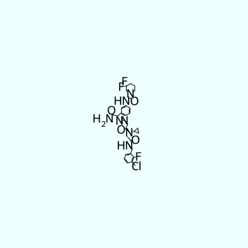 NC(=O)c1nn(CC(=O)N(CC(=O)NCc2cccc(Cl)c2F)C2CC2)c2ccc(NC(=O)N3CCCC(F)(F)C3)cc12